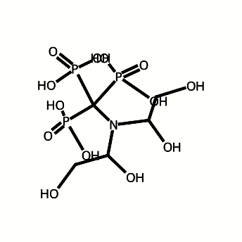 O=P(O)(O)C(N(C(O)CO)C(O)CO)(P(=O)(O)O)P(=O)(O)O